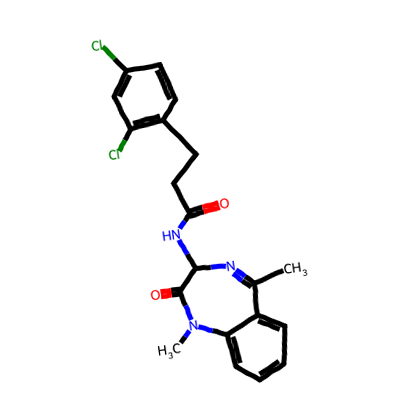 CC1=NC(NC(=O)CCc2ccc(Cl)cc2Cl)C(=O)N(C)c2ccccc21